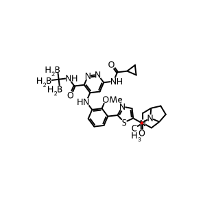 BC(B)(B)NC(=O)c1nnc(NC(=O)C2CC2)cc1Nc1cccc(-c2ncc(C(=O)N3C4CCC3CN(C)C4)s2)c1OC